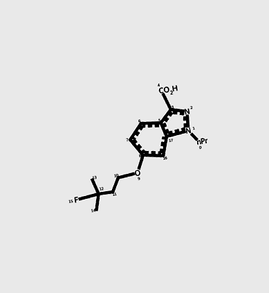 CCCn1nc(C(=O)O)c2ccc(OCCC(C)(C)F)cc21